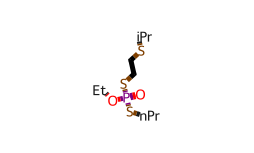 CCCSP(=O)(OCC)SCCSC(C)C